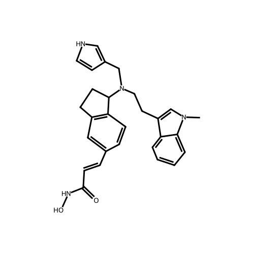 Cn1cc(CCN(Cc2cc[nH]c2)C2CCc3cc(/C=C/C(=O)NO)ccc32)c2ccccc21